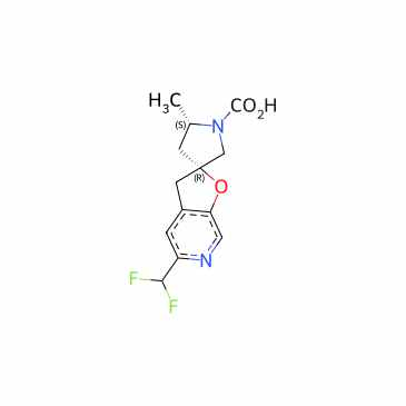 C[C@H]1C[C@]2(Cc3cc(C(F)F)ncc3O2)CN1C(=O)O